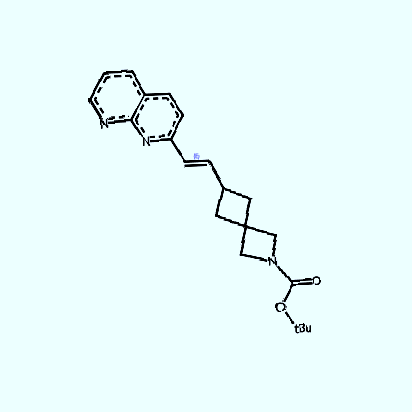 CC(C)(C)OC(=O)N1CC2(CC(/C=C/c3ccc4cccnc4n3)C2)C1